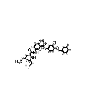 C=CC(=O)N[C@@H](CCSC)C(=O)Nc1ccc2ncnc(Nc3ccc(OCc4cccc(F)c4)c(Cl)c3)c2c1